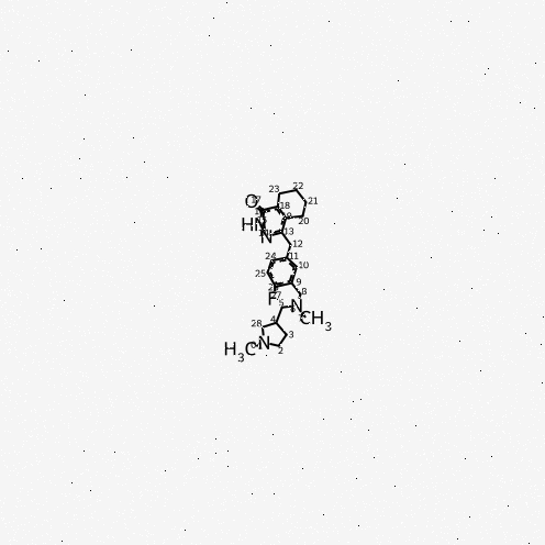 CN1CCC(CN(C)Cc2cc(Cc3n[nH]c(=O)c4c3CCCC4)ccc2F)C1